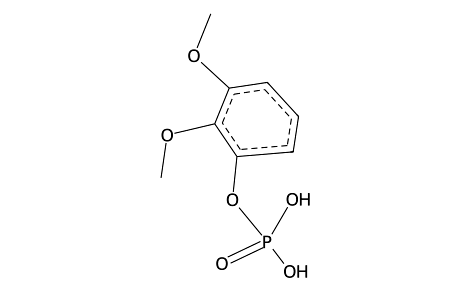 COc1cccc(OP(=O)(O)O)c1OC